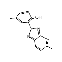 Cc1ccc(O)c(-n2nc3ccc(C)cc3n2)c1